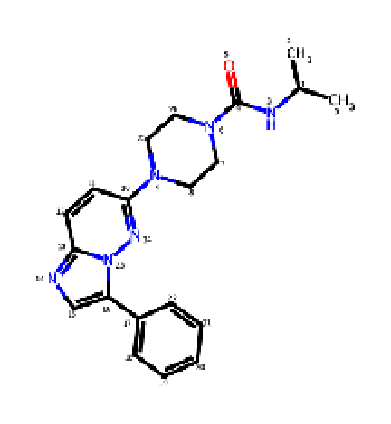 CC(C)NC(=O)N1CCN(c2ccc3ncc(-c4ccccc4)n3n2)CC1